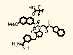 COc1ccc2ccc(S(=O)(=O)N(CC(=O)NC3Cc4ccccc4C3)[C@H]3CCN(Cc4cccc(C(=N)N)c4)C3=O)cc2c1.O=C(O)C(F)(F)F